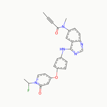 CC#CC(=O)N(C)c1ccc2ncnc(Nc3ccc(Oc4ccn(C(C)F)c(=O)c4)cc3)c2c1